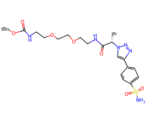 CC(C)[C@@H](C(=O)NCCOCCOCCNC(=O)OC(C)(C)C)n1cc(-c2ccc(S(N)(=O)=O)cc2)nn1